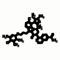 CC1=CC(OCCCc2c3n(c4c(-c5c(C)nn(C)c5C)c(Cl)ccc24)[C@H](C)CN(c2nccc4cc(C(N)=O)ccc24)C3=O)C(C)C(C)=C1Cl